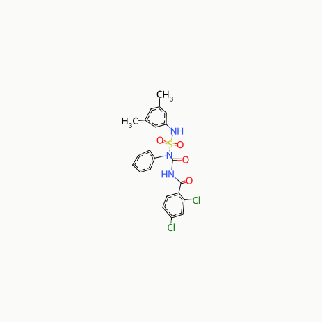 Cc1cc(C)cc(NS(=O)(=O)N(C(=O)NC(=O)c2ccc(Cl)cc2Cl)c2ccccc2)c1